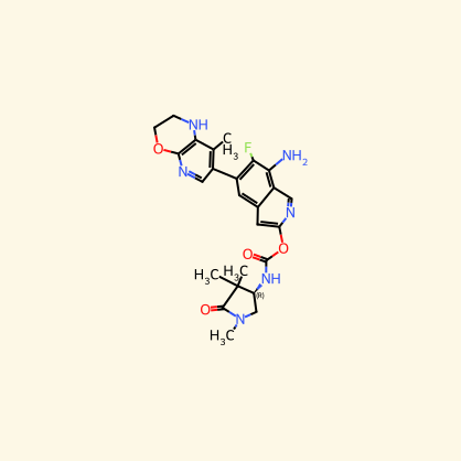 Cc1c(-c2cc3cc(OC(=O)N[C@H]4CN(C)C(=O)C4(C)C)ncc3c(N)c2F)cnc2c1NCCO2